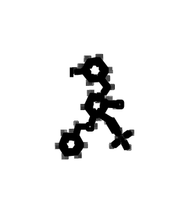 C[Si](C)(C)C#Cc1c(OCc2ccccc2)ccn(Cc2cccc(F)c2)c1=O